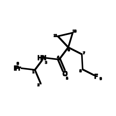 CC(C)C(C)NC(=O)C1(CCF)CC1